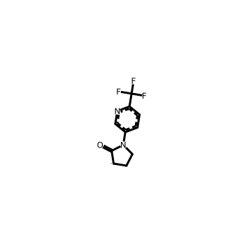 O=C1[CH]CCN1c1ccc(C(F)(F)F)nc1